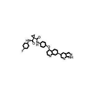 O=C(Nc1ccc(F)cc1)C1(C(=O)Nc2ccc(Oc3ccnc4cc(-c5cnc6[nH]ncc6c5)ccc34)cc2)CC1